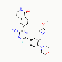 COC1CN(Cc2cc(-c3nc(-c4ccc5c(c4)CCNC5=O)c(N)nc3F)ccc2N2CCOCC2)C1